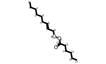 CCCCCC/C=C/COOC(=O)CCCCC